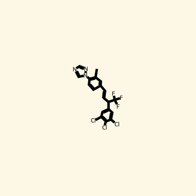 Cc1cc(/C=C/C(c2cc(Cl)c(Cl)c(Cl)c2)C(F)(F)F)ccc1-n1cncn1